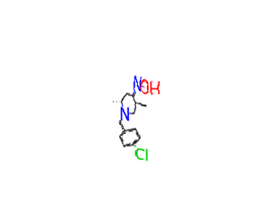 C[C@@H]1C/C(=N/O)[C@@H](C)CN1Cc1ccc(Cl)cc1